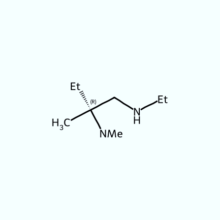 CCNC[C@@](C)(CC)NC